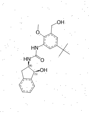 COc1c(CO)cc(C(C)(C)C)cc1NC(=O)N[C@@H]1Cc2ccccc2[C@@H]1O